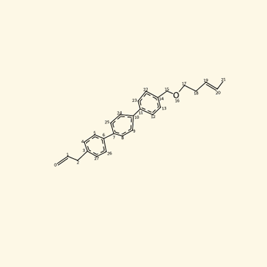 C=CCc1ccc(-c2ccc(-c3ccc(COCC/C=C/C)cc3)cc2)cc1